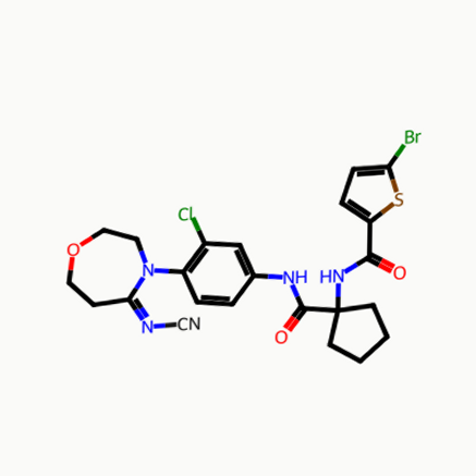 N#CN=C1CCOCCN1c1ccc(NC(=O)C2(NC(=O)c3ccc(Br)s3)CCCC2)cc1Cl